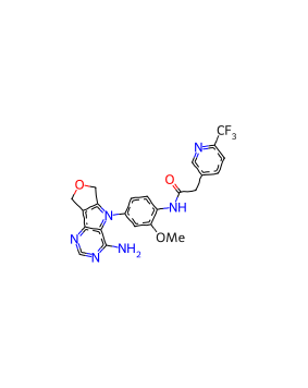 COc1cc(-n2c3c(c4ncnc(N)c42)COC3)ccc1NC(=O)Cc1ccc(C(F)(F)F)nc1